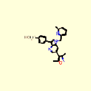 Cc1cccc(Cn2cc(-c3ccc(C(=O)O)cc3)c3ncc(-c4c(C)noc4C)cc32)n1